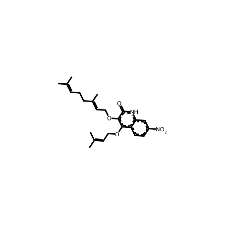 CC(C)=CCC/C(C)=C/COc1c(OCC=C(C)C)c2ccc([N+](=O)[O-])cc2[nH]c1=O